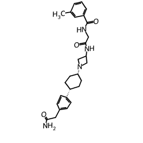 Cc1cccc(C(=O)NCC(=O)NC2CN([C@H]3CC[C@@H](c4ccc(CC(N)=O)cc4)CC3)C2)c1